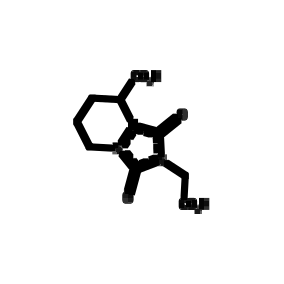 O=C(O)Cn1c(=O)n2n(c1=O)C(C(=O)O)CCC2